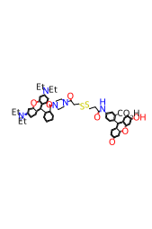 CCN(CC)c1ccc2c(-c3ccccc3C(=O)N3CCN(C(=O)CCSSCCC(=O)Nc4ccc(-c5c6ccc(=O)cc-6oc6cc(O)ccc56)c(C(=O)O)c4)CC3)c3ccc(=[N+](CC)CC)cc-3oc2c1